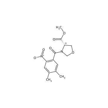 COC(=O)[C@@H]1COCN1C(=O)c1cc(C)c(C)cc1[N+](=O)[O-]